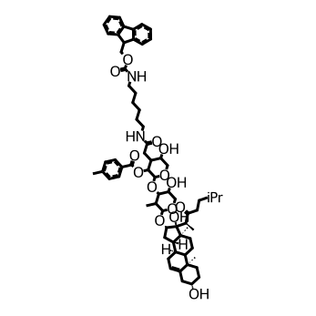 Cc1ccc(C(=O)OC2C(OC3C(O)COC(O[C@H]4C[C@H]5[C@@H]6CC=C7C[C@@H](O)CC[C@]7(C)C6CC[C@]5(C)[C@@]4(O)[C@H](C)C(=O)CCC(C)C)C3C)OCC(O)C2CC(=O)NCCCCCCNC(=O)OCC2c3ccccc3-c3ccccc32)cc1